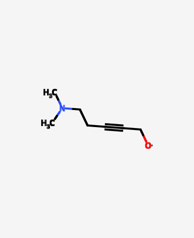 CN(C)CCC#CC[O]